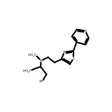 CC(C)CC(C(=O)O)N(CCc1csc(-c2ccncc2)n1)C(=O)O